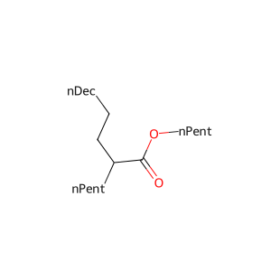 CCCCCCCCCCCCC(CCCCC)C(=O)OCCCCC